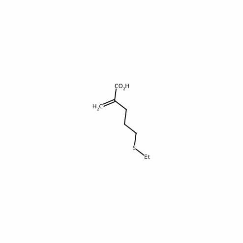 C=C(CCCSCC)C(=O)O